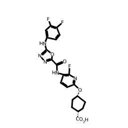 O=C(Nc1ccc(O[C@H]2CC[C@@H](C(=O)O)CC2)nc1F)c1nnc(Nc2ccc(F)c(F)c2)o1